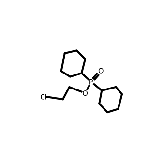 O=P(OCCCl)(C1CCCCC1)C1CCCCC1